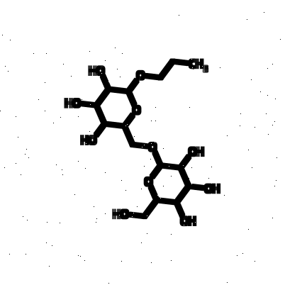 CCCOC1OC(COC2OC(CO)C(O)C(O)C2O)C(O)C(O)C1O